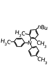 CCCCc1cc(C)c(N(c2ccc(C)cc2)c2ccc(C)cc2)c(C)c1